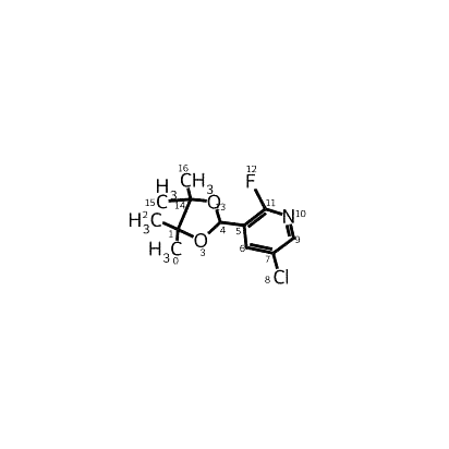 CC1(C)OC(c2cc(Cl)cnc2F)OC1(C)C